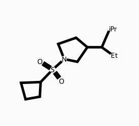 CCC(C(C)C)C1CCN(S(=O)(=O)C2CCC2)C1